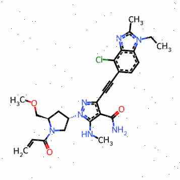 C=CC(=O)N1C[C@@H](n2nc(C#Cc3ccc4c(nc(C)n4CC)c3Cl)c(C(N)=O)c2NC)C[C@@H]1COC